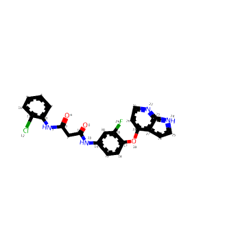 O=C(CC(=O)Nc1ccccc1Cl)Nc1ccc(Oc2ccnc3[nH]ccc23)c(F)c1